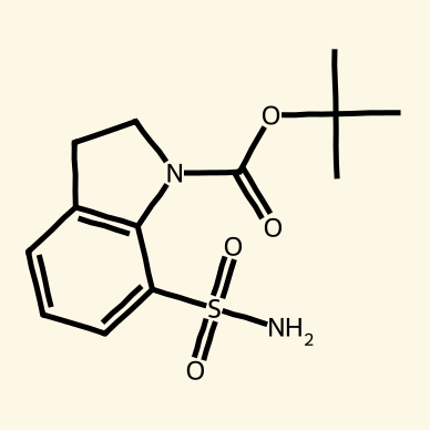 CC(C)(C)OC(=O)N1CCc2cccc(S(N)(=O)=O)c21